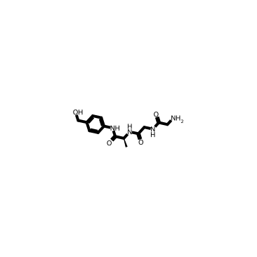 C[C@H](NC(=O)CNC(=O)CN)C(=O)Nc1ccc(CO)cc1